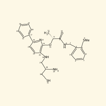 CSc1ccccc1CNC(=O)[C@@H](C)Oc1nc(-c2ccccc2)ccc1NCC(N)CS